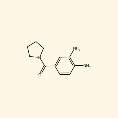 Nc1ccc(C(=O)N2CCCC2)cc1N